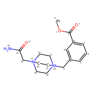 CC(C)OC(=O)c1cccc(C[N+]23CC[N+](CC(N)=O)(CC2)CC3)c1